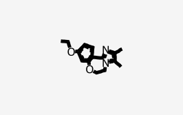 CCOc1ccc2c(c1)OCCn1c-2nc(C)c1C